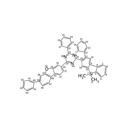 C[Si]1(C)c2ccccc2-c2cc(-c3ccccc3)c(-c3nc(-c4ccccc4)nc(-c4ccc5c(c4)oc4cc(-c6ccccc6)ccc45)n3)cc21